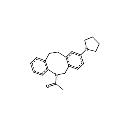 CC(=O)N1Cc2ccc(N3CCCC3)cc2CCc2ccccc21